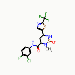 CN1C(C(=O)Nc2ccc(F)c(Cl)c2)CC(c2cnc(C(F)(F)F)s2)N[S+]1[O-]